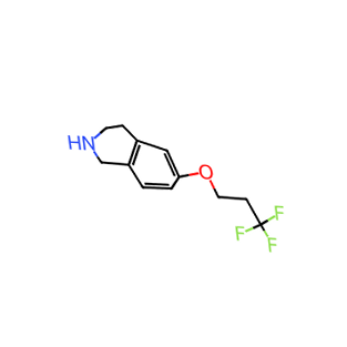 FC(F)(F)CCOc1ccc2c(c1)CCNC2